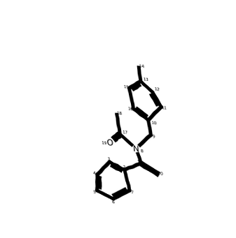 C=C(c1ccccc1)N(Cc1ccc(C)cc1)C(C)=O